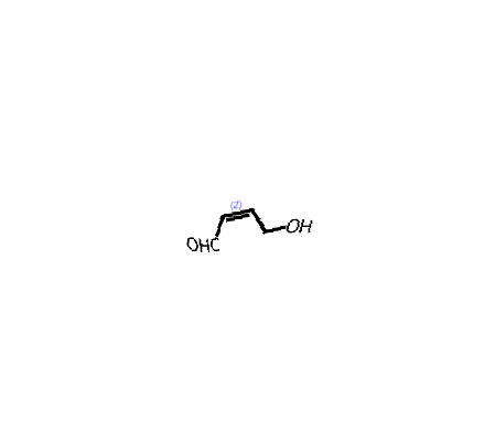 O=C/C=C\CO